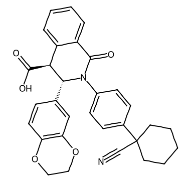 N#CC1(c2ccc(N3C(=O)c4ccccc4[C@H](C(=O)O)[C@H]3c3ccc4c(c3)OCCO4)cc2)CCCCC1